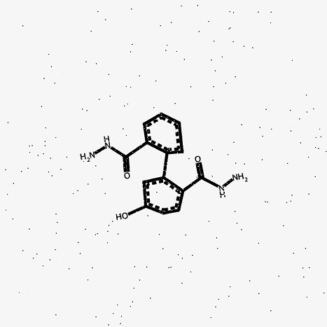 NNC(=O)c1ccccc1-c1cc(O)ccc1C(=O)NN